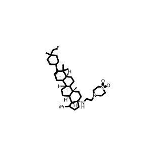 CC(C)C1CC[C@]2(NCCN3CCS(=O)(=O)CC3)CC[C@]3(C)[C@H](CC[C@@H]4[C@@]5(C)CC=C(C6CCC(C)(CF)CC6)C(C)(C)[C@@H]5CC[C@]43C)[C@@H]12